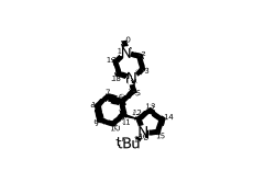 CN1CCN(CC2=CC=CCC2[C@H]2CCCN2C(C)(C)C)CC1